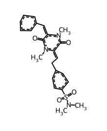 CN(C)S(=O)(=O)c1ccc(CC=c2c(=O)n(C)c(=Cc3ccccc3)c(=O)n2C)cc1